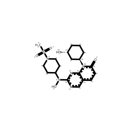 CS(=O)(=O)N1CCC(N(O)c2ncc3ccc(=O)n([C@@H]4CCC[C@@H](O)C4)c3n2)CC1